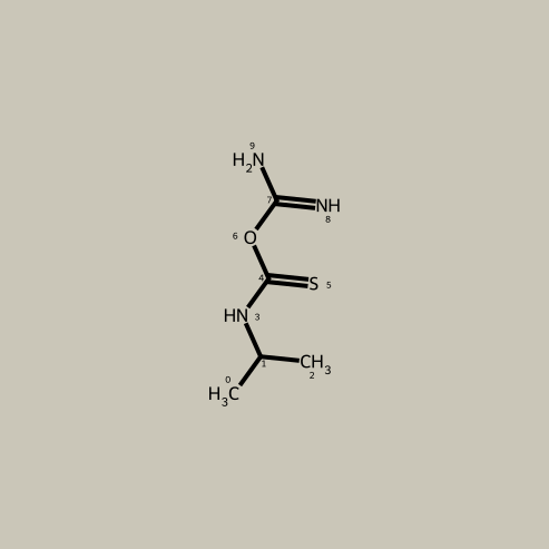 CC(C)NC(=S)OC(=N)N